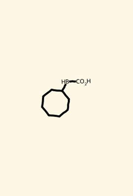 O=C(O)BC1CCCCCCC1